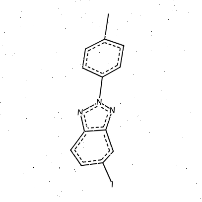 Cc1ccc(-n2nc3ccc(I)cc3n2)cc1